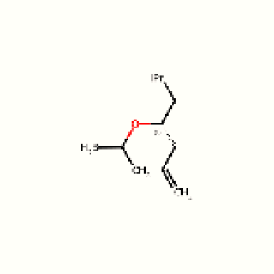 BC(C)O[C@@H](CC=C)CC(C)C